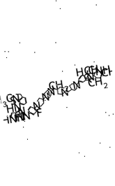 C=C1CCC(n2c(=C)c3ccc(N4CCC(CN5CCC(C(=C)N6CCN(C7CCN(c8ccc(Nc9nc(Nc%10cccc%11c%10N(SC)CC%11)c%10cc[nH]c%10n9)cc8F)CC7)CC6)CC5)CC4)cc3c2=C)C(=C)N1